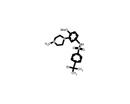 CCC(C)(C)c1ccc(S(=O)(=O)Nc2ccc(OC)c(N3CCN(C)CC3)c2)cc1